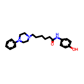 O=C(CCCCCN1CCN(c2ccccc2)CC1)Nc1ccc(O)cc1